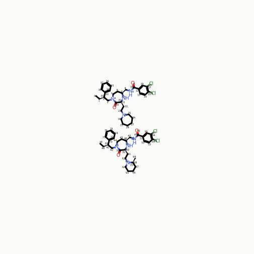 CC[C@H](CN1CC[C@@H](CNC(=O)c2ccc(Cl)c(Cl)c2)N[C@@H](CCN2CCCCCC2)C1=O)c1ccccc1.CC[C@H](CN1CC[C@@H](CNC(=O)c2ccc(Cl)c(Cl)c2)N[C@@H](CCN2CCCC[C@@H]2C)C1=O)c1ccccc1